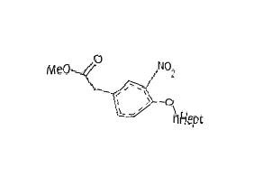 CCCCCCCOc1ccc(CC(=O)OC)cc1[N+](=O)[O-]